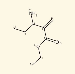 C=C(C(=O)OCC)C(N)CC